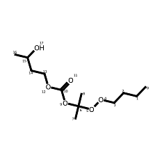 CCCCOOC(C)(C)OC(=O)OCCC(C)O